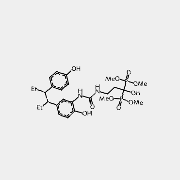 CCC(c1ccc(O)cc1)C(CC)c1ccc(O)c(NC(=O)NCCC(O)(P(=O)(OC)OC)P(=O)(OC)OC)c1